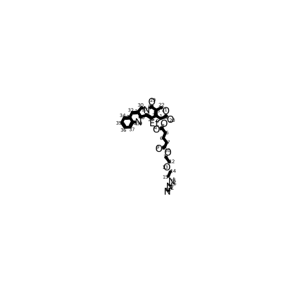 CC[C@@]1(OC(=O)CCCC(=O)OCCOCCN=[N+]=[N-])C(=O)OCc2c1cc1n(c2=O)Cc2cc3ccccc3nc2-1